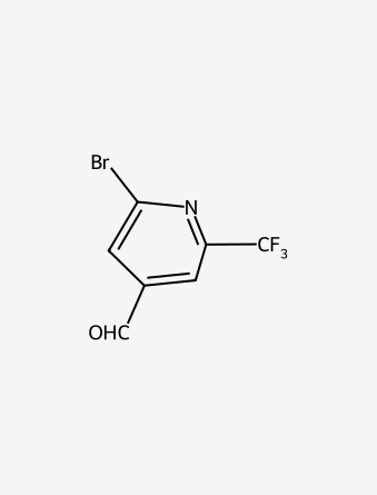 O=Cc1cc(Br)nc(C(F)(F)F)c1